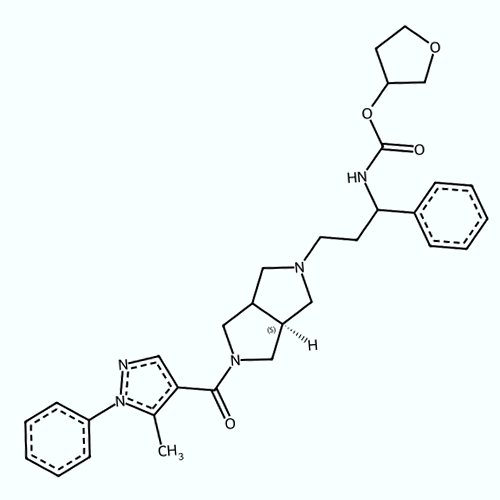 Cc1c(C(=O)N2CC3CN(CCC(NC(=O)OC4CCOC4)c4ccccc4)C[C@H]3C2)cnn1-c1ccccc1